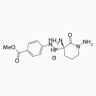 COC(=O)c1ccc(N[PH](=O)[C@@]2(N)CCCN(N)C2=O)cc1